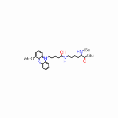 COc1cccc2c1nc1ccccc1[n+]2CCCCC(O)NCCCCC(NC(C)(C)C)C(=O)C(C)(C)C